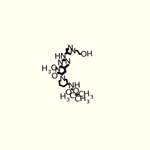 Cn1c(=O)c(N2CCCC(NC(=O)OC(C)(C)C)C2)cc2cnc(Nc3cnn(CCO)c3)nc21